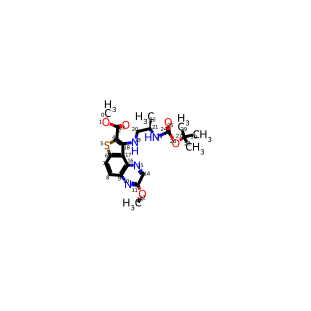 COC(=O)c1sc2ccc3nc(OC)cnc3c2c1NC[C@@H](C)NC(=O)OC(C)(C)C